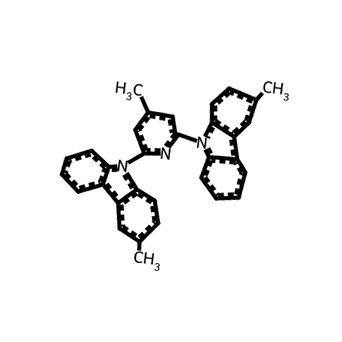 Cc1cc(-n2c3ccccc3c3cc(C)ccc32)nc(-n2c3ccccc3c3cc(C)ccc32)c1